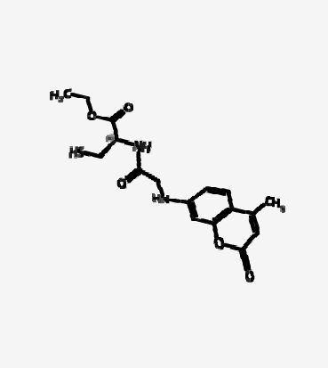 CCOC(=O)[C@H](CS)NC(=O)CNc1ccc2c(C)cc(=O)oc2c1